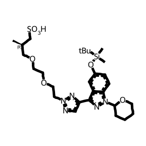 C[C@H](COCCOCCn1ncc(-c2nn(C3CCCCO3)c3ccc(O[Si](C)(C)C(C)(C)C)cc23)n1)CS(=O)(=O)O